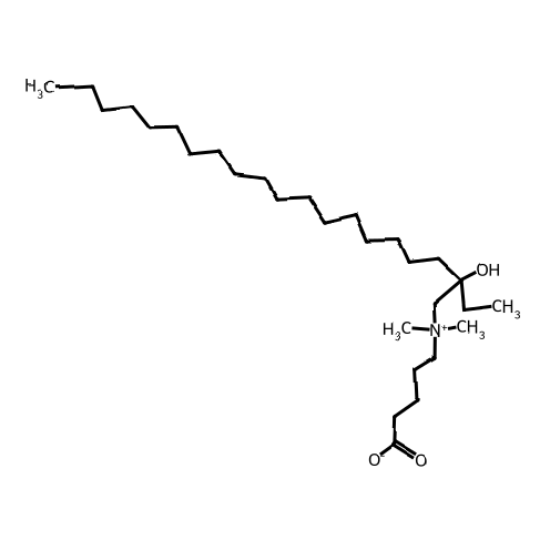 CCCCCCCCCCCCCCCCCCC(O)(CC)C[N+](C)(C)CCCCC(=O)[O-]